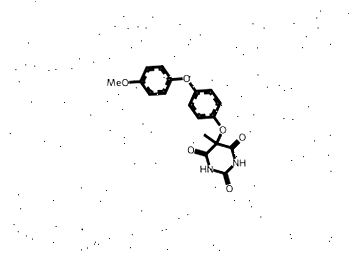 COc1ccc(Oc2ccc(OC3(C)C(=O)NC(=O)NC3=O)cc2)cc1